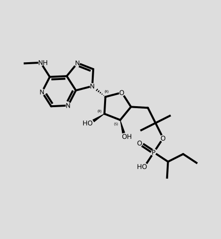 CCC(C)P(=O)(O)OC(C)(C)CC1O[C@@H](n2cnc3c(NC)ncnc32)[C@H](O)[C@@H]1O